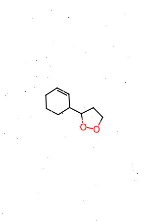 C1=CC(C2CCOO2)CCC1